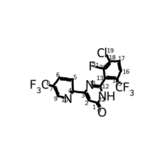 O=c1cc(-c2ccc(C(F)(F)F)cn2)nc(-c2c(C(F)(F)F)ccc(Cl)c2F)[nH]1